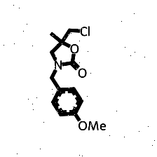 COc1ccc(CN2CC(C)(CCl)OC2=O)cc1